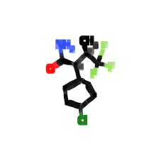 C[C@H]([C@H](C(N)=O)c1ccc(Cl)cc1)C(F)(F)F